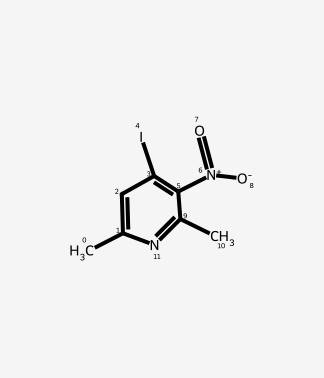 Cc1cc(I)c([N+](=O)[O-])c(C)n1